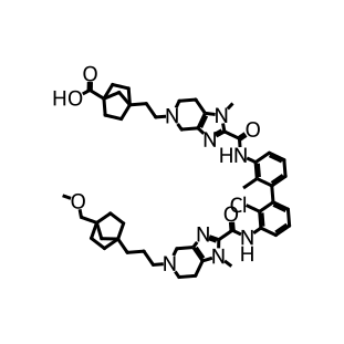 COCC12CCC(CCCN3CCc4c(nc(C(=O)Nc5cccc(-c6cccc(NC(=O)c7nc8c(n7C)CCN(CCC79CCC(C(=O)O)(CC7)C9)C8)c6C)c5Cl)n4C)C3)(CC1)C2